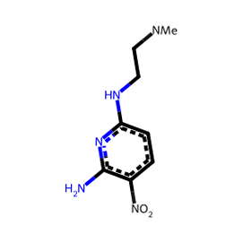 CNCCNc1ccc([N+](=O)[O-])c(N)n1